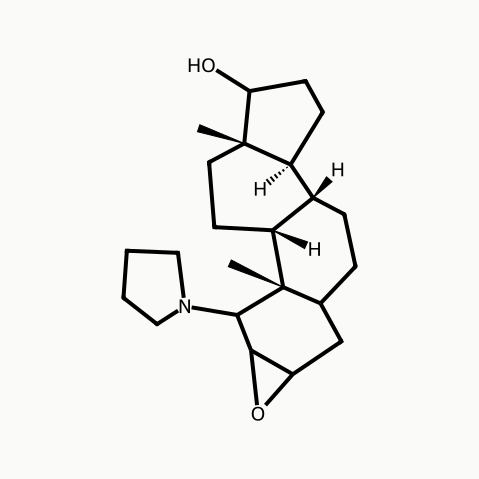 C[C@]12C(CC[C@@H]3[C@H]1CC[C@]1(C)C(O)CC[C@@H]31)CC1OC1C2N1CCCC1